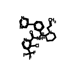 C=CCN1CCCC[C@H]1[C@@H](NC(=O)c1nccc(C(F)(F)F)c1Cl)c1cccc(-c2cncnc2)c1